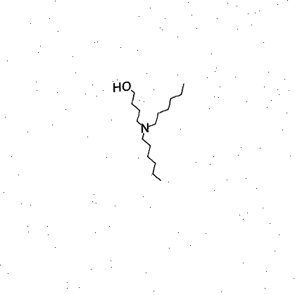 CCCCCCN(CCCCO)CCCCCC